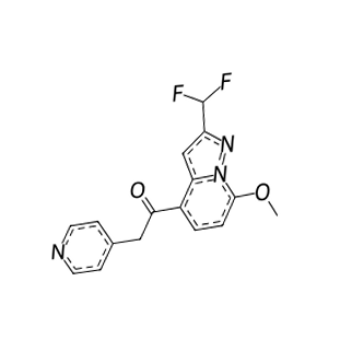 COc1ccc(C(=O)Cc2ccncc2)c2cc(C(F)F)nn12